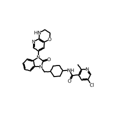 Cc1ncc(Cl)cc1C(=O)NC1CCC(Cn2c(=O)n(-c3cnc4c(c3)OCCN4)c3ccccc32)CC1